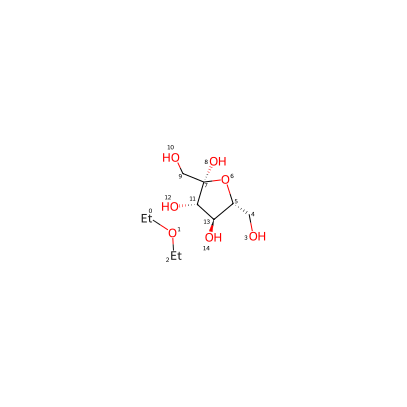 CCOCC.OC[C@H]1O[C@](O)(CO)[C@@H](O)[C@@H]1O